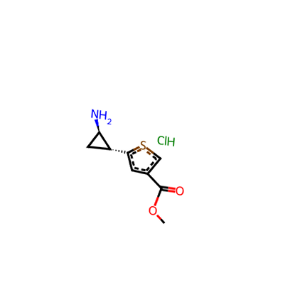 COC(=O)c1csc([C@@H]2C[C@H]2N)c1.Cl